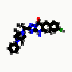 Cc1[nH]c2nc(C(C)N3C[C@@H]4C[C@H]3CN4c3ccccc3)nn2c(=O)c1Cc1ccc(F)cc1